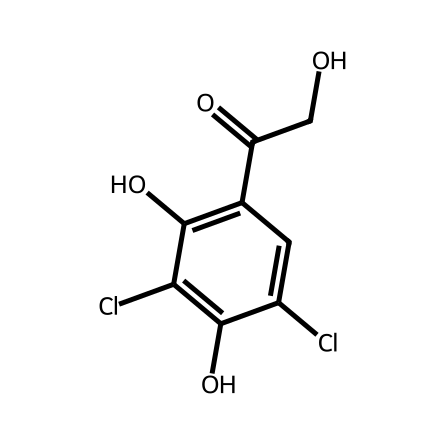 O=C(CO)c1cc(Cl)c(O)c(Cl)c1O